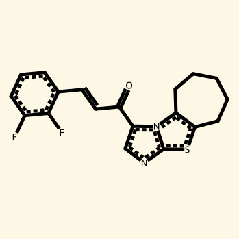 O=C(C=Cc1cccc(F)c1F)c1cnc2sc3c(n12)CCCCC3